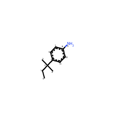 CCC(C)(C)c1ccc(N)cc1